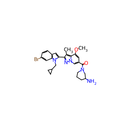 COc1cc(C(=O)N2CCCC(N)C2)cn2nc(-c3cc4ccc(Br)cc4n3CC3CC3)c(C)c12